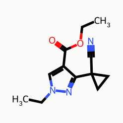 CCOC(=O)c1cn(CC)nc1C1(C#N)CC1